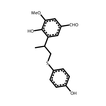 COc1cc(C=O)cc(C(C)CSc2ccc(O)cc2)c1O